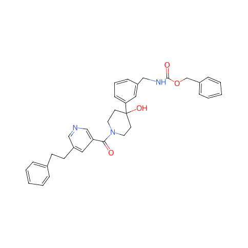 O=C(NCc1cccc(C2(O)CCN(C(=O)c3cncc(CCc4ccccc4)c3)CC2)c1)OCc1ccccc1